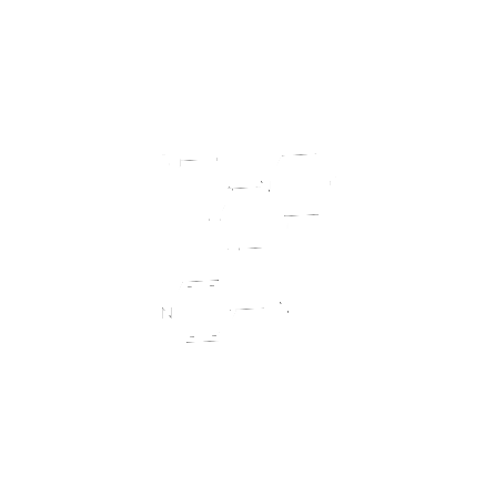 CC(C)(C)OC(=O)N1CCOC[C@@H]1COc1cnccc1C#N